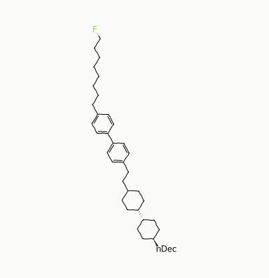 CCCCCCCCCC[C@H]1CC[C@H](C2CCC(CCc3ccc(-c4ccc(CCCCCCCCF)cc4)cc3)CC2)CC1